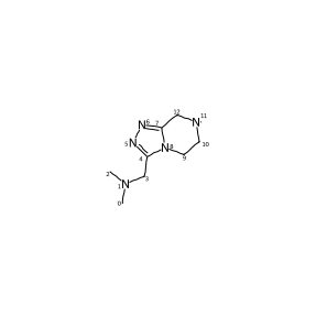 CN(C)Cc1nnc2n1CC[N]C2